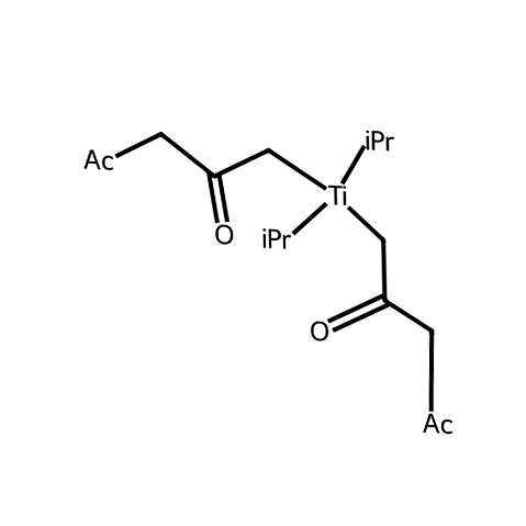 CC(=O)CC(=O)[CH2][Ti]([CH2]C(=O)CC(C)=O)([CH](C)C)[CH](C)C